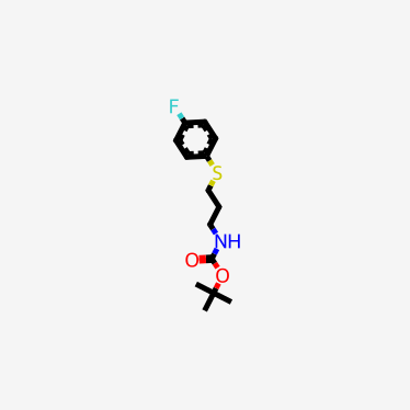 CC(C)(C)OC(=O)NCCCSc1ccc(F)cc1